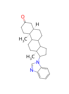 C[C@]12CCC3C(CC[C@@H]4CC(=O)CC[C@]34C)C1CCC2n1cnc2ccccc21